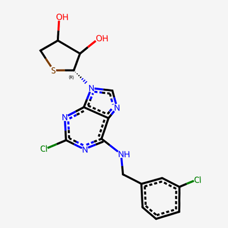 OC1CS[C@@H](n2cnc3c(NCc4cccc(Cl)c4)nc(Cl)nc32)C1O